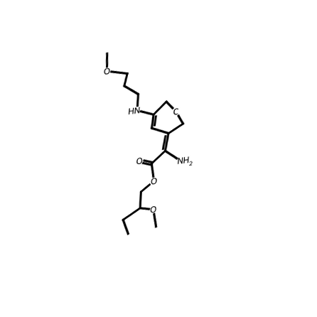 CCC(COC(=O)/C(N)=C1\C=C(NCCCOC)CCC1)OC